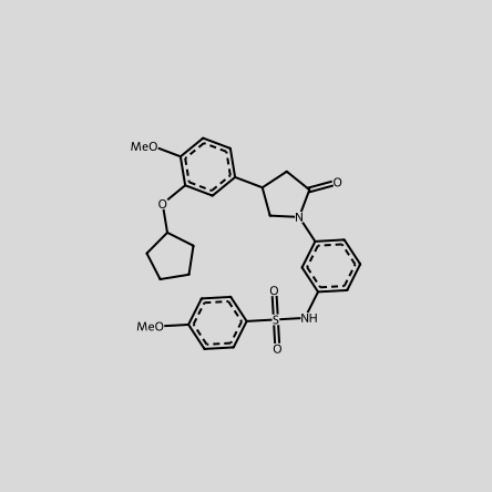 COc1ccc(S(=O)(=O)Nc2cccc(N3CC(c4ccc(OC)c(OC5CCCC5)c4)CC3=O)c2)cc1